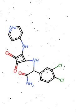 NC(=O)C(Nc1c(Nc2ccncc2)c(=O)c1=O)c1ccc(Cl)c(Cl)c1